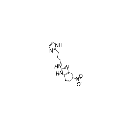 O=[N+]([O-])c1ccc2[nH]c(NCCCc3ncc[nH]3)nc2c1